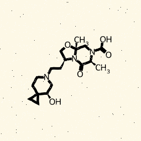 C[C@H]1C(=O)N2[C@@H](CCN3CCC4(CC4)[C@H](O)C3)CO[C@]2(C)CN1C(=O)O